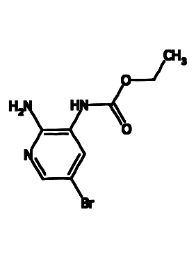 CCOC(=O)Nc1cc(Br)cnc1N